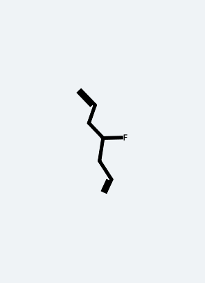 C=CC[C](F)CC=C